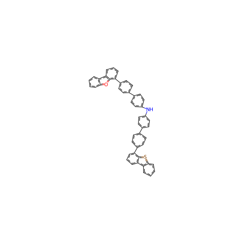 c1ccc2c(c1)oc1c(-c3ccc(-c4ccc(Nc5ccc(-c6ccc(-c7cccc8c7sc7ccccc78)cc6)cc5)cc4)cc3)cccc12